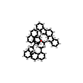 c1ccc2c(-c3nc(-c4cccc5ccccc45)nc(-n4c5ccccc5c5ccc6c7ccccc7n(-c7ccc(-c8nc9ccccc9o8)cc7)c6c54)n3)cccc2c1